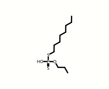 CCCCCCCCSP(O)(=S)OCCC